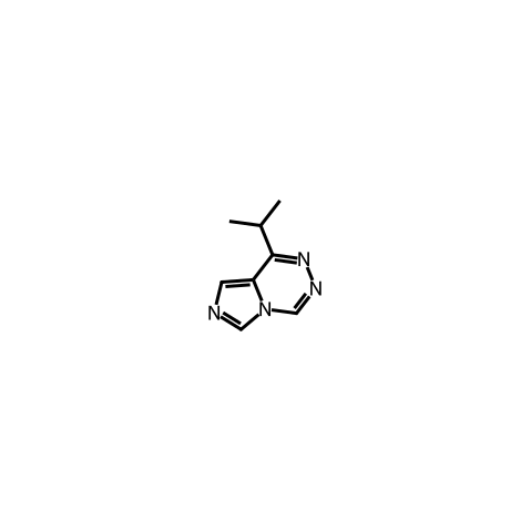 CC(C)c1nncn2cncc12